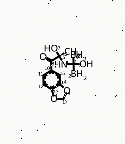 BC(B)(O)N[C@@](C)(O)C(=O)c1ccc2c(c1)OCO2